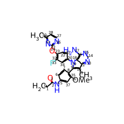 C=CC(=O)Nc1ccc(-c2c(C)c3ncnc(N)c3n2-c2ccc(Oc3nccc(C)n3)c(F)c2)c(OC)c1